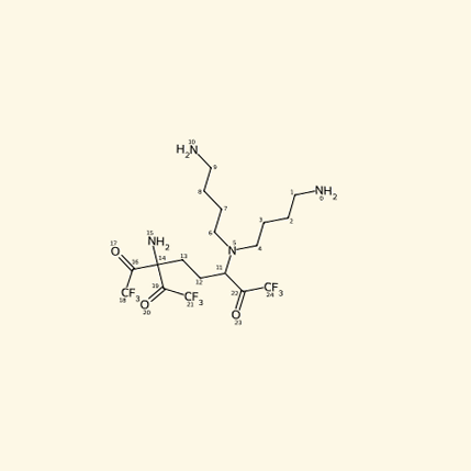 NCCCCN(CCCCN)C(CCC(N)(C(=O)C(F)(F)F)C(=O)C(F)(F)F)C(=O)C(F)(F)F